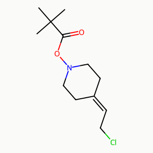 CC(C)(C)C(=O)ON1CCC(=CCCl)CC1